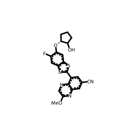 COc1cnc2c(-c3nc4cc(F)c(O[C@@H]5CCCC5O)cc4s3)cc(C#N)cc2n1